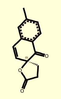 Cc1ccc2c(c1)C=C[C@@]1(CCC(=O)O1)C2=O